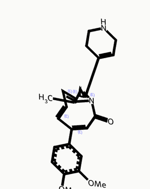 COc1ccc(C2=C\C(=O)N3/C=C(C4=CCNCC4)\C=C\CC(C)\C3=C/C=C/2)cc1OC